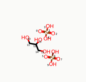 O=S(=O)(O)O.O=S(=O)(O)O.OCC(O)CO